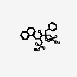 CC(C)(C)S(=O)(=O)CC(Cc1cccc2ccccc12)C(=O)C([C]=O)(Cc1ccccc1)CS(=O)(=O)C(C)(C)C